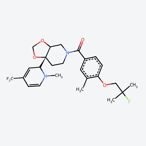 Cc1cc(C(=O)N2CC[C@]3(C4C=C(C(F)(F)F)C=CN4C)OCOC3C2)ccc1OCC(C)(C)F